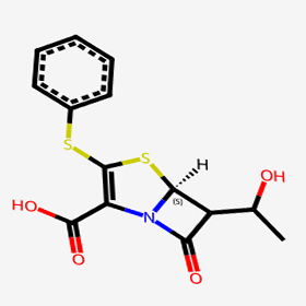 CC(O)C1C(=O)N2C(C(=O)O)=C(Sc3ccccc3)S[C@@H]12